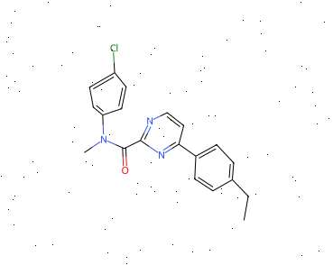 CCc1ccc(-c2ccnc(C(=O)N(C)c3ccc(Cl)cc3)n2)cc1